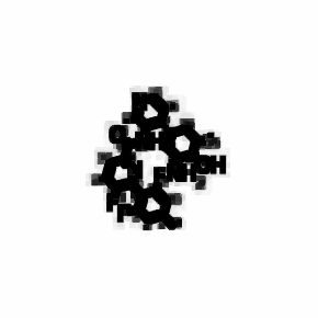 Cc1cc(F)c(-c2nc(C(=O)Nc3cnccc3[C@H]3C[C@@H](N)[C@H](O)[C@@H](C)C3)ccc2F)c(F)c1